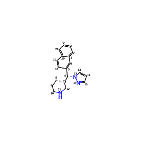 c1ccc2cc([C@@H]([C@H]3CCCNC3)n3cccn3)ccc2c1